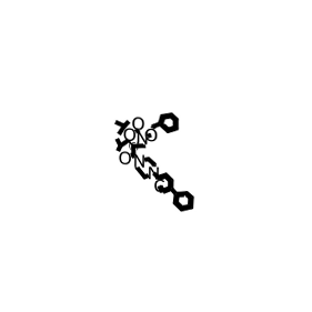 CC(C)C[C@@H](CN(OCc1ccccc1)C(=O)OC(C)(C)C)C(=O)N1CCN(c2ccc(-c3ccccc3)cc2)CC1